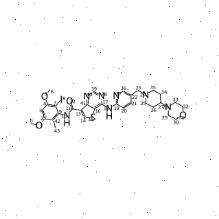 COc1cc(OC)c(I)c(NC(=O)c2csc3c(Nc4ccc(CN5CCC(N6CCOCC6)CC5)cn4)ncnc23)c1C